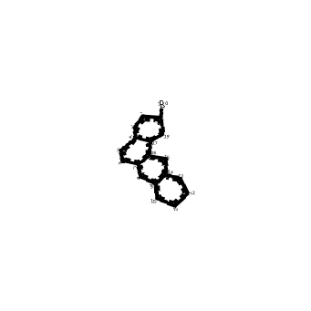 [B]c1ccc2ccc3cc4ccccc4cc3c2c1